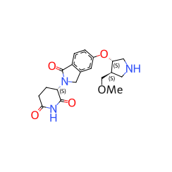 COC[C@@H]1CNC[C@H]1Oc1ccc2c(c1)CN([C@H]1CCC(=O)NC1=O)C2=O